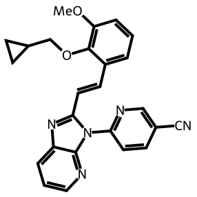 COc1cccc(C=Cc2nc3cccnc3n2-c2ccc(C#N)cn2)c1OCC1CC1